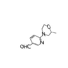 CC1CN(c2ccc(C=O)cn2)CCO1